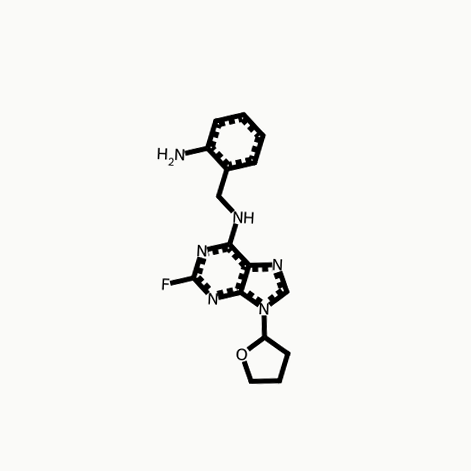 Nc1ccccc1CNc1nc(F)nc2c1ncn2C1CCCO1